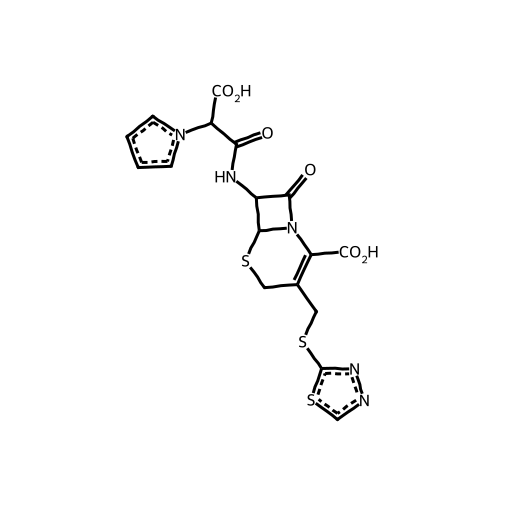 O=C(O)C1=C(CSc2nncs2)CSC2C(NC(=O)C(C(=O)O)n3cccc3)C(=O)N12